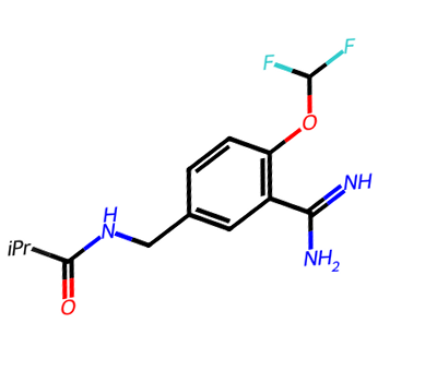 CC(C)C(=O)NCc1ccc(OC(F)F)c(C(=N)N)c1